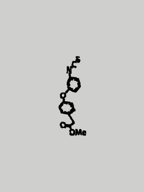 COC(=O)Cc1ccc(Oc2cccc(N=C=S)c2)cc1